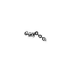 CN1CC=C(c2ccc(-c3cccc(C(=O)Nc4nnc(-c5ccco5)o4)c3)cc2)CC1